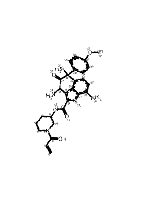 C=CC(=O)N1CCCC(NC(=O)c2sc3c(N)ccc4c3c2C(N)C(=O)C4(N)c2ccc(OC(C)C)cc2)C1